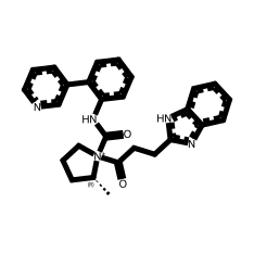 C[C@@H]1CCC[N+]1(C(=O)CCc1nc2ccccc2[nH]1)C(=O)Nc1ccccc1-c1cccnc1